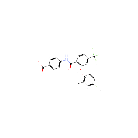 Cc1cc(F)ccc1Oc1cc(C(F)(F)F)ccc1C(=O)Nc1ccc(C(=O)O)cc1